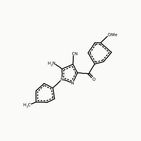 COc1ccc(C(=O)c2nn(-c3ccc(C)cc3)c(N)c2C#N)cc1